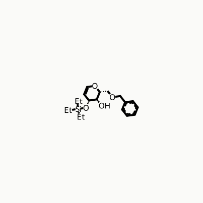 CC[Si](CC)(CC)O[C@@H]1C=CO[C@H](COCc2ccccc2)[C@H]1O